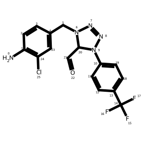 Nc1ccc(CN2N=NN(c3ccc(C(F)(F)F)cc3)C2C=O)cc1Cl